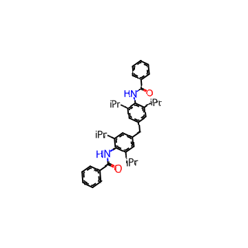 CC(C)c1cc(Cc2cc(C(C)C)c(NC(=O)c3ccccc3)c(C(C)C)c2)cc(C(C)C)c1NC(=O)c1ccccc1